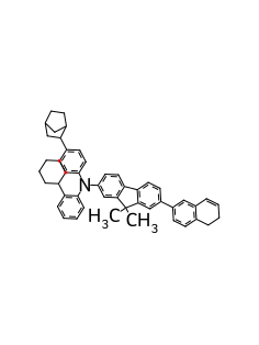 CC1(C)c2cc(-c3ccc4c(c3)C=CCC4)ccc2-c2ccc(N(c3ccc(C4CC5CCC4C5)cc3)c3ccccc3C3CCCCC3)cc21